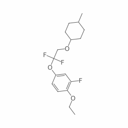 CCOc1ccc(OC(F)(F)COC2CCC(C)CC2)cc1F